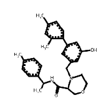 Cc1ccc(C(C)NC(=O)C2COCCN2Cc2cc(O)cc(-c3ccc(C)cc3C)c2)cc1